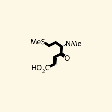 CN[C@@H](CCSC)C(=O)C=CC(=O)O